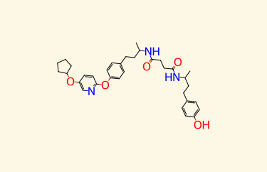 CC(CCc1ccc(O)cc1)NC(=O)CCC(=O)NC(C)CCc1ccc(Oc2ccc(OC3CCCC3)cn2)cc1